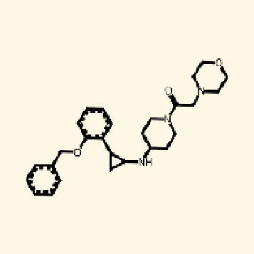 O=C(CN1CCOCC1)N1CCC(NC2CC2c2ccccc2OCc2ccccc2)CC1